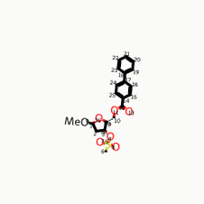 COC1C[C@H](OS(C)(=O)=O)[C@@H](COC(=O)c2ccc(-c3ccccc3)cc2)O1